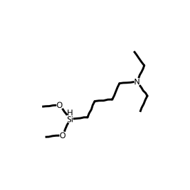 CCN(CC)CCCC[SiH](OC)OC